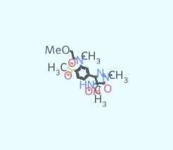 COCCN(C)c1cc(C2=NN(C)C(=O)C2(C)NO)ccc1S(C)(=O)=O